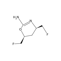 NC1=N[C@@H](CF)C[C@@H](CF)O1